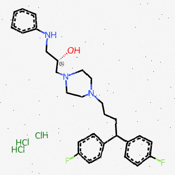 Cl.Cl.Cl.O[C@@H](CNc1ccccc1)CN1CCN(CCCC(c2ccc(F)cc2)c2ccc(F)cc2)CC1